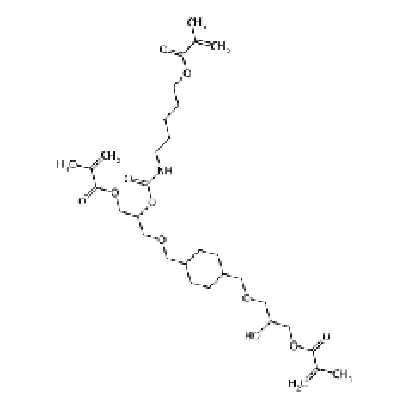 C=C(C)C(=O)OCCCCCNC(=O)OC(COCC1CCC(COCC(O)COC(=O)C(=C)C)CC1)COC(=O)C(=C)C